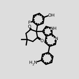 CC1(C)CC(=O)C(c2cc(O)ccc2F)(c2c[nH]c3ncc(-c4cccc(N)c4)cc23)C(=O)C1